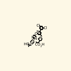 CC(O)CN1CCN(c2ncc(Oc3cc(CN4CCC(CC(C)C(=O)O)CC4)cc(-c4cc(Cl)cc(Cl)c4)n3)cn2)CC1